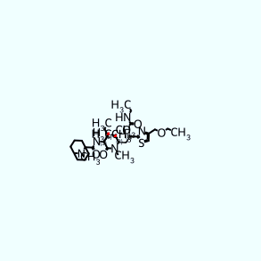 CCNC(=O)O[C@H](C[C@H](C(C)C)N(C)C(=O)[C@@H](NC(=O)C12CCCC(CCC1)N2C)[C@@H](C)CC)c1nc(COCC)cs1